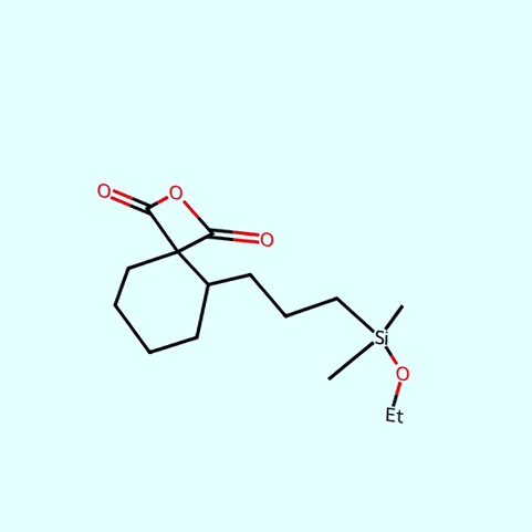 CCO[Si](C)(C)CCCC1CCCCC12C(=O)OC2=O